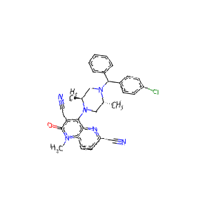 C[C@@H]1CN(c2c(C#N)c(=O)n(C)c3ccc(C#N)nc23)[C@@H](C)CN1C(c1ccccc1)c1ccc(Cl)cc1